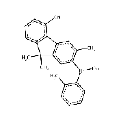 Cc1ccccc1N(c1cc2c(cc1C)-c1c(C#N)cccc1C2(C)C)C(C)(C)C